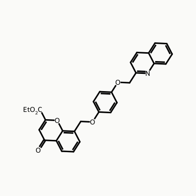 CCOC(=O)c1cc(=O)c2cccc(COc3ccc(OCc4ccc5ccccc5n4)cc3)c2o1